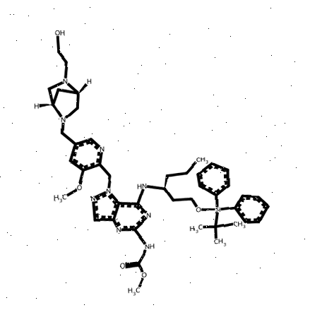 CCC[C@@H](CCO[Si](c1ccccc1)(c1ccccc1)C(C)(C)C)Nc1nc(NC(=O)OC)nc2cnn(Cc3ncc(CN4C[C@@H]5C[C@H]4CN5CCO)cc3OC)c12